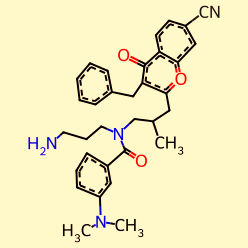 CC(Cc1oc2cc(C#N)ccc2c(=O)c1Cc1ccccc1)CN(CCCN)C(=O)c1cccc(N(C)C)c1